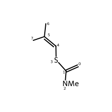 C=C(NC)SC=C(C)C